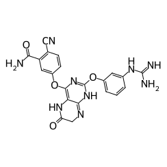 N#Cc1ccc(OC2=C3NC(=O)CN=C3NC(Oc3cccc(NC(=N)N)c3)=N2)cc1C(N)=O